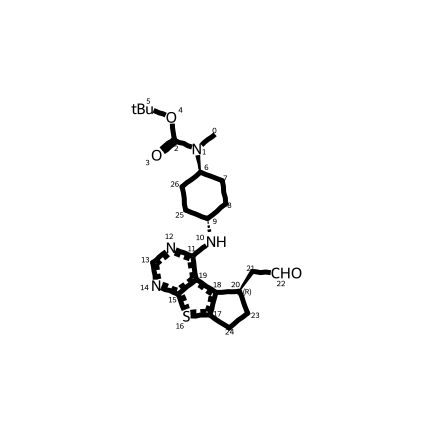 CN(C(=O)OC(C)(C)C)[C@H]1CC[C@H](Nc2ncnc3sc4c(c23)[C@@H](CC=O)CC4)CC1